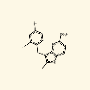 CCc1ccc(Cn2c(C)nc3ccc(C(=O)O)nc32)c(Cl)c1